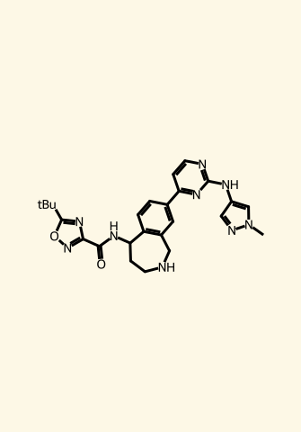 Cn1cc(Nc2nccc(-c3ccc4c(c3)CNCCC4NC(=O)c3noc(C(C)(C)C)n3)n2)cn1